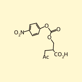 CC(=O)CC(COC(=O)Oc1ccc([N+](=O)[O-])cc1)C(=O)O